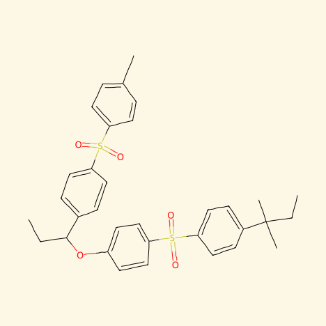 CCC(Oc1ccc(S(=O)(=O)c2ccc(C(C)(C)CC)cc2)cc1)c1ccc(S(=O)(=O)c2ccc(C)cc2)cc1